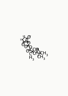 CC(C)C(=O)OC(C)(C)C(=O)OC(=O)ON1C(=O)CCC1=O